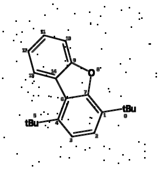 CC(C)(C)c1ccc(C(C)(C)C)c2c1oc1ccccc12